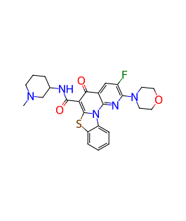 CN1CCCC(NC(=O)c2c(=O)c3cc(F)c(N4CCOCC4)nc3n3c2sc2ccccc23)C1